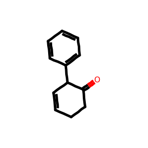 O=C1CCC=CC1c1ccccc1